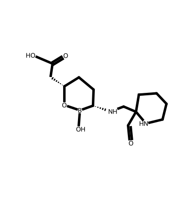 O=CC1(CN[C@H]2CC[C@@H](CC(=O)O)OB2O)CCCCN1